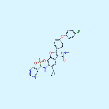 CNC(=O)c1c(-c2ccc(Oc3ccc(F)cc3)cc2)oc2cc(NC(c3cncnc3)S(C)(=O)=O)c(C3CC3)cc12